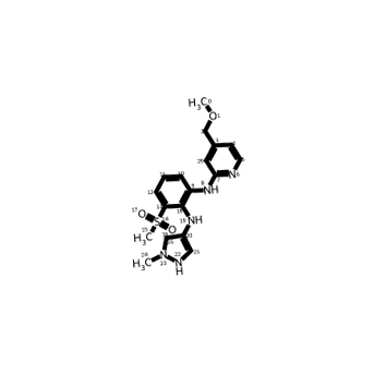 COCc1ccnc(Nc2cccc(S(C)(=O)=O)c2NC2=CNN(C)C2)c1